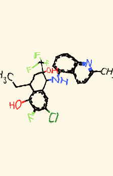 CCC1CC(O)(C(F)(F)F)C(Nc2cccc3nc(C)ccc23)c2cc(Cl)c(F)c(O)c21